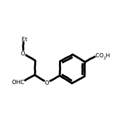 CCOCC(C=O)Oc1ccc(C(=O)O)cc1